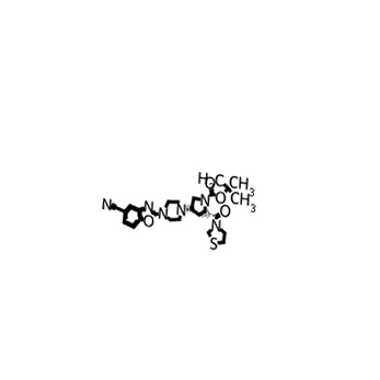 CC(C)(C)OC(=O)N1C[C@@H](N2CCN(c3nc4cc(C#N)ccc4o3)CC2)C[C@H]1C(=O)N1CCSC1